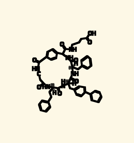 O=C(O)CCCNC(=O)C1NC(=O)[C@@H](Cc2ccccc2)NC(=O)[C@H](Cc2ccc(-c3ccccc3)cc2)NC(=O)[C@@H](CCc2ccccc2)NC(=O)CCNC(=O)c2ccc1cc2